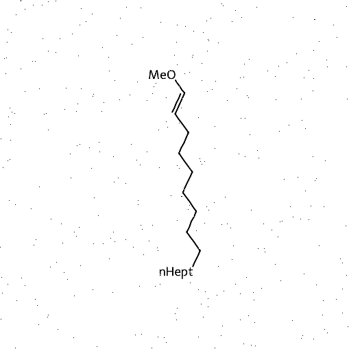 [CH2]OC=CCCCCCCCCCCCCCC